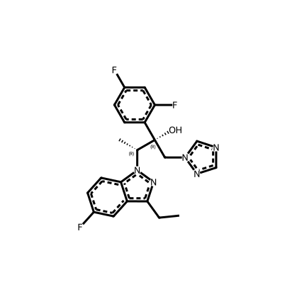 CCc1nn([C@H](C)[C@](O)(Cn2cncn2)c2ccc(F)cc2F)c2ccc(F)cc12